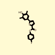 Cc1cc(-c2ccc(C(=O)Oc3ccc(F)cc3)s2)cc(C)c1O